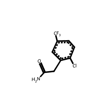 NC(=O)Cc1cc(C(F)(F)F)ccc1Cl